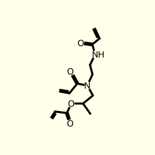 C=CC(=O)NCCN(CC(C)OC(=O)C=C)C(=O)C=C